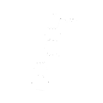 COC(=O)c1ccc(CN(C(C)=O)c2ccc3c(c2)C(C)(C)CCC3(C)C)cc1